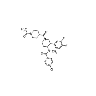 CC(=O)N1CCC(C(=O)N2CCC(N(C)C(=O)c3ccc(Cl)cc3)C(c3ccc(F)c(F)c3)C2)CC1